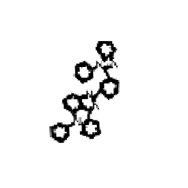 c1ccc(N2c3ccccc3-c3nc(-c4cccc(-c5nc6ccccc6n5-c5ccccc5)c4)nc4cccc2c34)cc1